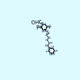 O=Cc1cc(F)c(SCCCCCc2ccccc2)cc1F